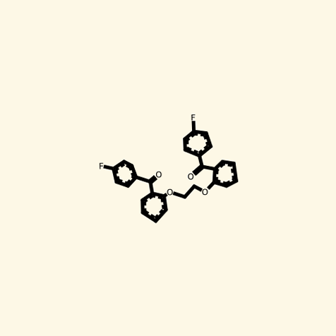 O=C(c1ccc(F)cc1)c1ccccc1OCCOc1ccccc1C(=O)c1ccc(F)cc1